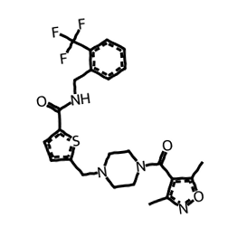 Cc1noc(C)c1C(=O)N1CCN(Cc2ccc(C(=O)NCc3ccccc3C(F)(F)F)s2)CC1